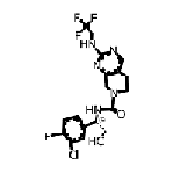 O=C(N[C@H](CO)c1ccc(F)c(Cl)c1)N1CCc2cnc(NCC(F)(F)F)nc2C1